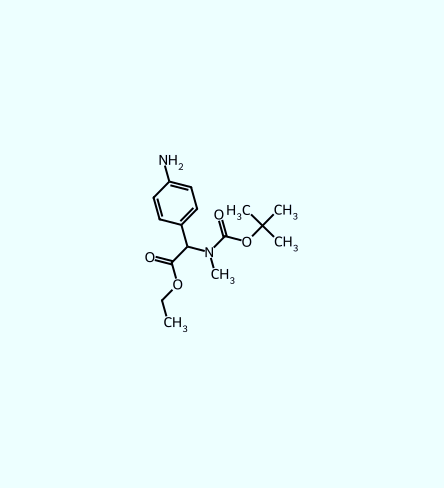 CCOC(=O)C(c1ccc(N)cc1)N(C)C(=O)OC(C)(C)C